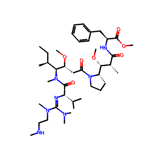 CC[C@H](C)[C@@H]([C@@H](CC(=O)N1CCC[C@H]1[C@H](OC)[C@@H](C)C(=O)N[C@@H](Cc1ccccc1)C(=O)OC)OC)N(C)C(=O)[C@@H](/N=C(\N(C)C)N(C)CCNC)C(C)C